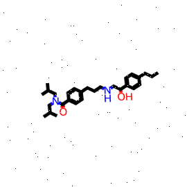 CCCc1ccc(C(O)CNCCCc2ccc(C(=O)N(CC(C)C)CC(C)C)cc2)cc1